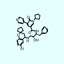 CCc1ccc2c(c1)C(NC[C@@H](O)[C@H](Cc1ccccc1)NC(=O)c1cc(-c3ccncc3)c(=O)n(C3CCCC3)c1)CC1(CCCC1)O2